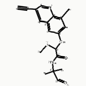 C#Cc1cnc2c(C)cc(OC(SC)C(=O)NC(C)(C)C=O)cc2c1